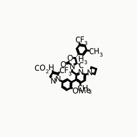 COc1ccc(-n2ncc(C(=O)O)c2C(F)(F)F)cc1-c1c(C)cc(N2CCC2)nc1CN1C(=O)O[C@H](c2cc(C)cc(C(F)(F)F)c2)[C@@H]1C